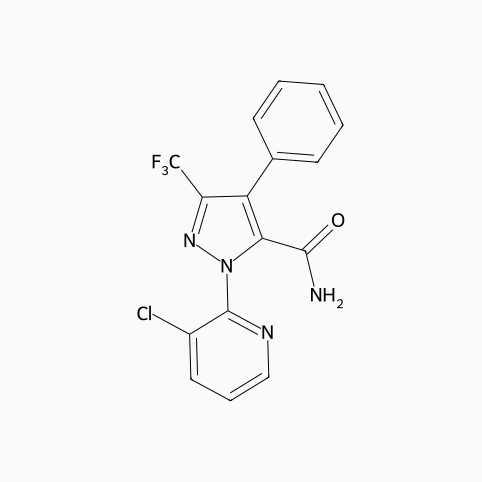 NC(=O)c1c(-c2ccccc2)c(C(F)(F)F)nn1-c1ncccc1Cl